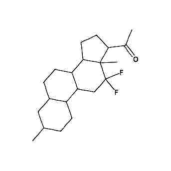 CC(=O)C1CCC2C3CCC4CC(C)CCC4C3CC(F)(F)C12C